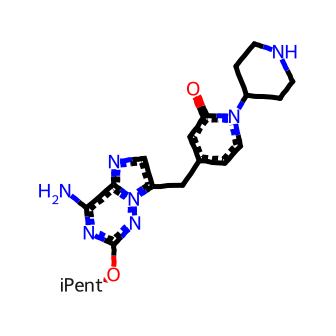 CCC[C@H](C)Oc1nc(N)c2ncc(Cc3ccn(C4CCNCC4)c(=O)c3)n2n1